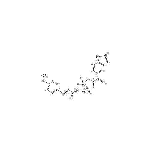 O=C(/C=C/c1ccc(OC(F)(F)F)cc1)N1C[C@@H]2CN(C(=O)c3ccc4[nH]nnc4c3)C[C@H]2C1